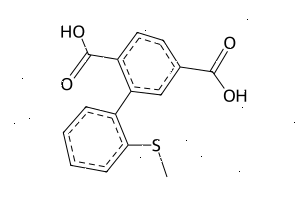 CSc1ccccc1-c1cc(C(=O)O)ccc1C(=O)O